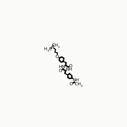 CC(=O)Nc1ccc(C=c2[nH]c(=O)c(=Cc3ccc(OCCCN(C)C)cc3)[nH]c2=O)cc1